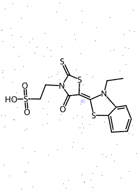 CCN1/C(=C2\SC(=S)N(CCS(=O)(=O)O)C2=O)Sc2ccccc21